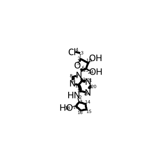 O[C@@H]1[C@@H](CCl)OC(n2cnc3c(N[C@@H]4CCC[C@@H]4O)ncnc32)[C@@H]1O